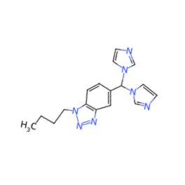 CCCCn1nnc2cc(C(n3ccnc3)n3ccnc3)ccc21